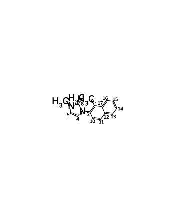 Cc1c(N2C=CN(C)[C@@H]2C)ccc2ccccc12